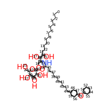 CCCCCCCCCCCCCC[C@@H](O)[C@@H](O)[C@H](CO[C@H]1OC(CO)[C@@H](O)[C@H](O)C1O)NC(=O)CCCCCCCCCCc1ccc(Oc2ccccc2)cc1